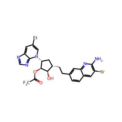 CCc1cc2ncnc-2n([C@@H]2C[C@H](CCc3ccc4cc(Br)c(N)nc4c3)[C@@H](O)[C@H]2OC(=O)C(F)(F)F)c1